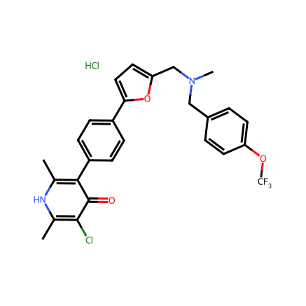 Cc1[nH]c(C)c(-c2ccc(-c3ccc(CN(C)Cc4ccc(OC(F)(F)F)cc4)o3)cc2)c(=O)c1Cl.Cl